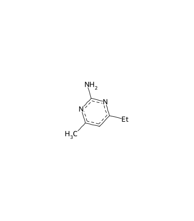 CCc1cc(C)nc(N)n1